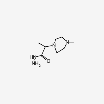 CC(C(=O)NN)N1CCN(C)CC1